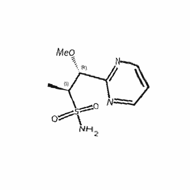 CO[C@H](c1ncccn1)[C@H](C)S(N)(=O)=O